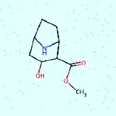 COC(=O)C1C(O)CC2CCC1N2